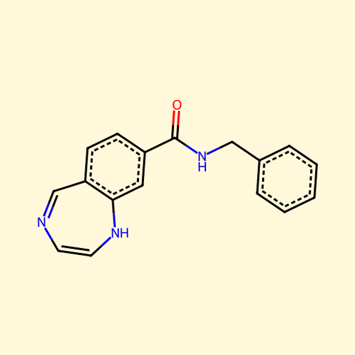 O=C(NCc1ccccc1)c1ccc2c(c1)NC=CN=C2